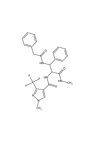 CNC(=O)C(NC(=O)c1cn(C)nc1C(F)(F)F)C(NC(=O)Cc1ccccc1)c1ccccc1